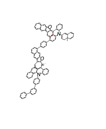 C[C@@H]1C(c2ccccc2N(c2ccc(-c3cccc(-c4ccccc4)c3)cc2)c2cccc3ccccc23)=CC=Cc2c1oc1cc3c(-c4ccc(-c5ccc(N(C6=CCC7(C)C=CC=CC7=C6)c6ccccc6-c6cccc7c6oc6cc8ccccc8cc67)cc5)cc4)cccc3cc21